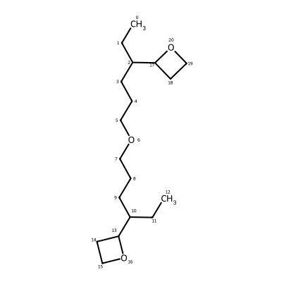 CCC(CCCOCCCC(CC)C1CCO1)C1CCO1